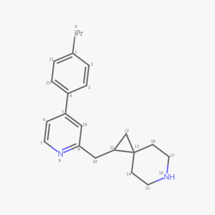 CC(C)c1ccc(-c2ccnc(CC3CC34CCNCC4)c2)cc1